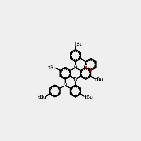 CC(C)(C)c1ccc(N2c3ccc(C(C)(C)C)cc3B3c4cc(C(C)(C)C)ccc4N(c4ccc(C(C)(C)C)cc4-c4ccccn4)c4cc(C(C)(C)C)cc2c43)cc1